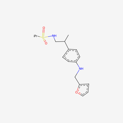 CC(CNS(=O)(=O)C(C)C)c1ccc(NCc2ccco2)cc1